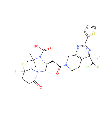 CC(C)(C)N(C(=O)O)[C@@H](CC(=O)N1CCc2c(nc(-c3cccs3)nc2C(F)(F)F)C1)CN1CC(F)(F)CCC1=O